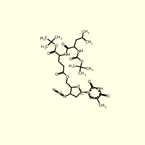 Cc1cn([C@H]2CC(N=[N+]=[N-])C(COC(=O)CCC(NC(=O)C(CC(C)C)NC(=O)OC(C)(C)C)C(=O)OC(C)(C)C)O2)c(=O)[nH]c1=O